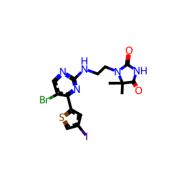 CC1(C)C(=O)NC(=O)N1CCNc1ncc(Br)c(-c2cc(I)cs2)n1